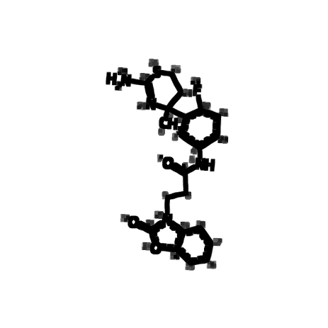 CC1(c2cc(NC(=O)CCn3c(=O)oc4ccccc43)ccc2F)CCSC(N)=N1